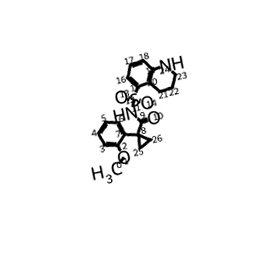 COc1ccccc1C1(C(=O)NS(=O)(=O)c2cccc3c2CCCN3)CC1